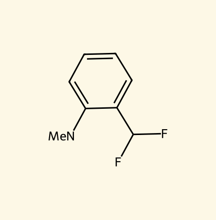 CNc1ccccc1C(F)F